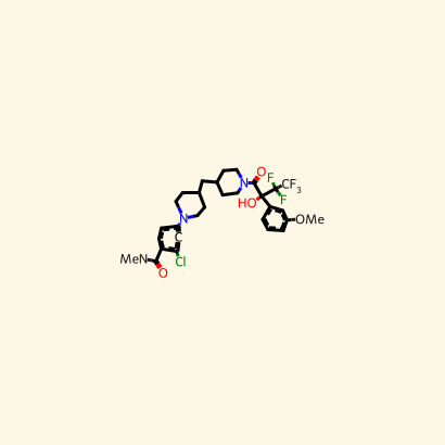 CNC(=O)c1ccc(N2CCC(CC3CCN(C(=O)C(O)(c4cccc(OC)c4)C(F)(F)C(F)(F)F)CC3)CC2)cc1Cl